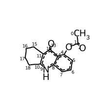 CC(=O)Oc1cccc2[nH]c3c(c(=O)c12)CCCC3